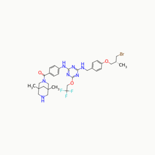 C[C@@H](CBr)COc1ccc(CNc2nc(Nc3ccc(C(=O)N4CC5(C)CNCC(C)(C4)C5)cc3)nc(OCC(F)(F)F)n2)cc1